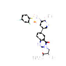 CCOc1ncc(-c2ccc3ncn(CC(C)C(=O)NC)c(=O)c3c2)cc1NS(=O)(=O)c1ccc(F)cc1Cl